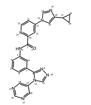 O=C(Nc1cccc(-c2nncn2-c2cncnc2)c1)c1cc(-n2cnc(C3CC3)c2)ccn1